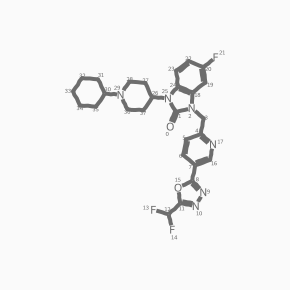 O=c1n(Cc2ccc(-c3nnc(C(F)F)o3)cn2)c2cc(F)ccc2n1C1CCN(C2CCCCC2)CC1